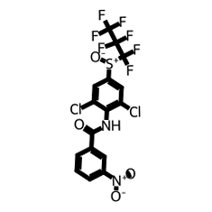 O=C(Nc1c(Cl)cc([S+]([O-])C(F)(F)C(F)(F)C(F)(F)F)cc1Cl)c1cccc([N+](=O)[O-])c1